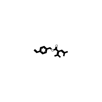 C=Cc1ccc(COC(=O)C(C=C(C)C)=C(C)C)cc1